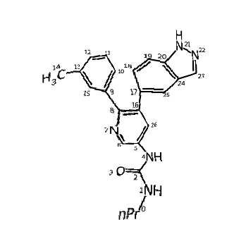 CCCNC(=O)Nc1cnc(-c2cccc(C)c2)c(-c2ccc3[nH]ncc3c2)c1